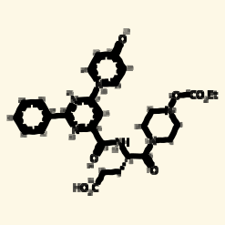 CCOC(=O)ON1CCN(C(=O)[C@H](CCC(=O)O)NC(=O)c2cc(-n3ccc(=O)cc3)nc(-c3ccccc3)n2)CC1